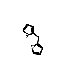 c1csc(Cc2cccs2)c1